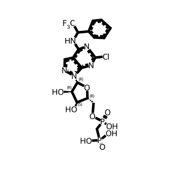 O=P(O)(O)CP(=O)(O)OC[C@H]1O[C@@H](n2ncc3c(NC(c4ccccc4)C(F)(F)F)nc(Cl)nc32)[C@H](O)[C@@H]1O